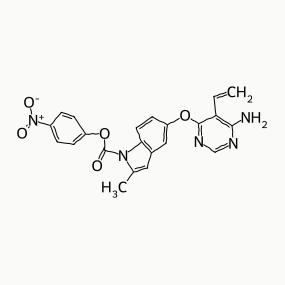 C=Cc1c(N)ncnc1Oc1ccc2c(c1)cc(C)n2C(=O)Oc1ccc([N+](=O)[O-])cc1